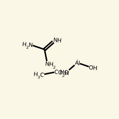 CC(=O)O.N=C(N)N.[OH][Al][OH]